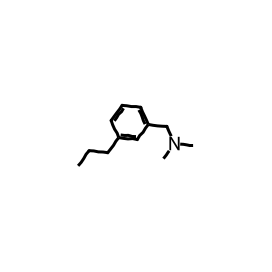 CCCc1cccc(CN(C)C)c1